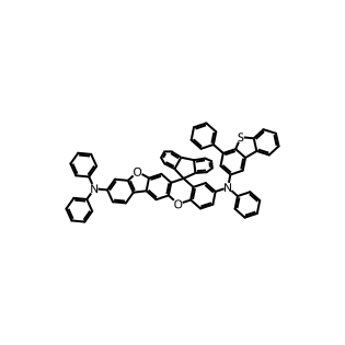 c1ccc(-c2cc(N(c3ccccc3)c3ccc4c(c3)C3(c5cc6oc7cc(N(c8ccccc8)c8ccccc8)ccc7c6cc5O4)c4ccccc4-c4ccccc43)cc3c2sc2ccccc23)cc1